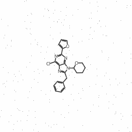 Clc1nc(-c2ccco2)nc2c1nc(Cc1ccccc1)n2C1CCCCO1